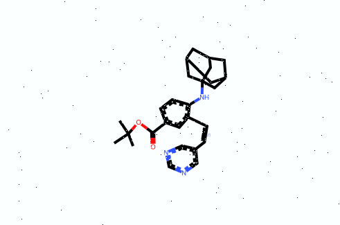 CC(C)(C)OC(=O)c1ccc(NC23CC4CC(CC(C4)C2)C3)c(/C=C\c2cncnc2)c1